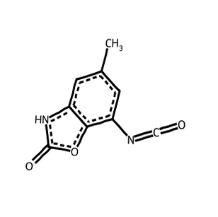 Cc1cc(N=C=O)c2oc(=O)[nH]c2c1